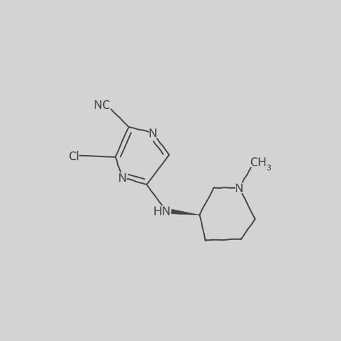 CN1CCC[C@@H](Nc2cnc(C#N)c(Cl)n2)C1